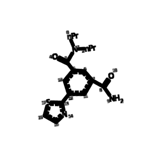 CCCN(CCC)C(=O)c1cc(C(N)=O)cc(-c2nccs2)c1